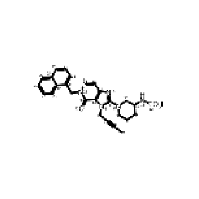 CC#CCn1c(N2CCCC(NC(=O)O)C2)nc2cnn(Cc3cccc4ccccc34)c(=O)c21